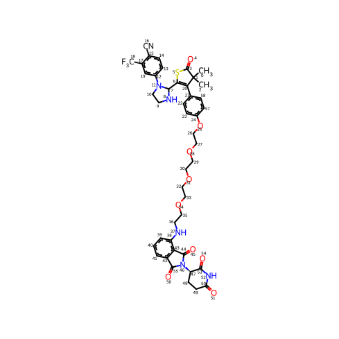 CC1(C)C(=O)SC(C2NCCN2c2ccc(C#N)c(C(F)(F)F)c2)=C1c1ccc(OCCOCCOCCOCCNc2cccc3c2C(=O)N([C@@H]2CCC(=O)NC2=O)C3=O)cc1